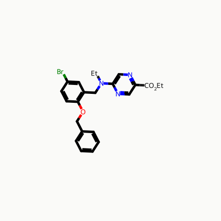 CCOC(=O)c1cnc(N(CC)Cc2cc(Br)ccc2OCc2ccccc2)cn1